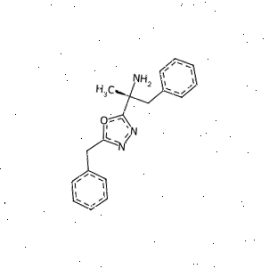 C[C@@](N)(Cc1ccccc1)c1nnc(Cc2ccccc2)o1